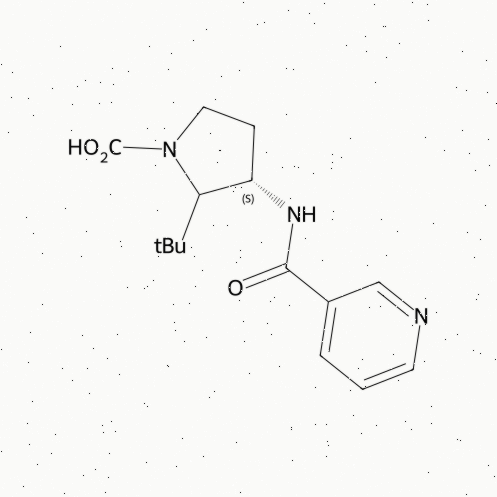 CC(C)(C)C1[C@@H](NC(=O)c2cccnc2)CCN1C(=O)O